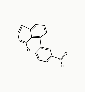 O=[N+]([O-])c1cccc(-c2cccc3ccc[n+]([O-])c23)c1